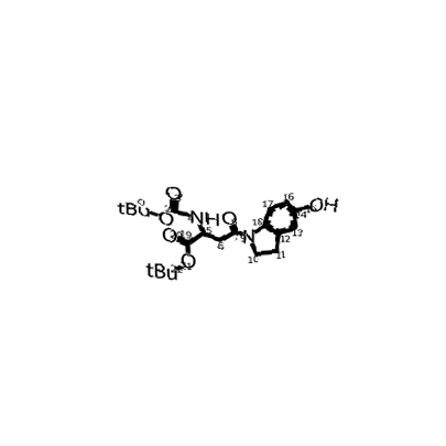 CC(C)(C)OC(=O)NC(CC(=O)N1CCc2cc(O)ccc21)C(=O)OC(C)(C)C